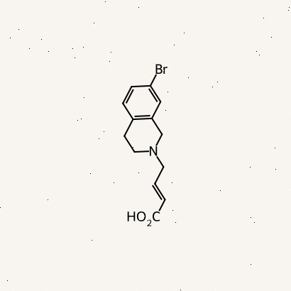 O=C(O)/C=C/CN1CCc2ccc(Br)cc2C1